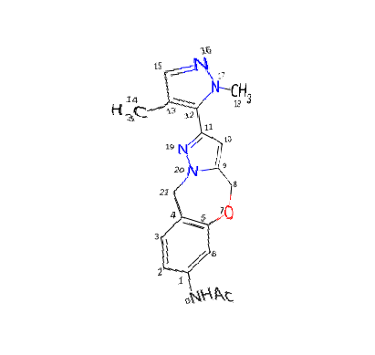 CC(=O)Nc1ccc2c(c1)OCc1cc(-c3c(C)cnn3C)nn1C2